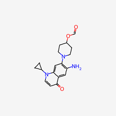 Nc1cc2c(=O)ccn(C3CC3)c2cc1N1CCC(OC=O)CC1